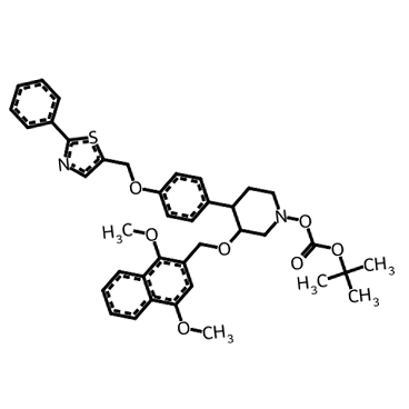 COc1cc(COC2CN(OC(=O)OC(C)(C)C)CCC2c2ccc(OCc3cnc(-c4ccccc4)s3)cc2)c(OC)c2ccccc12